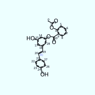 CC(=O)Oc1ccccc1C(=O)Oc1cc(O)cc(/C=C/c2ccc(O)cc2)c1